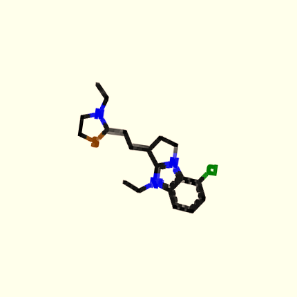 CCN1CCSC1=CC=C1CCn2c1[n+](CC)c1cccc(Cl)c12